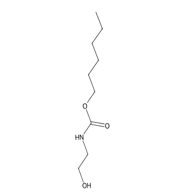 CCCCCCOC(=O)NCCO